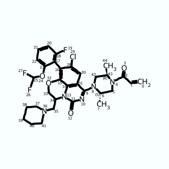 C=CC(=O)N1C[C@H](C)N(c2nc(=O)n3c4c(c(-c5c(F)cccc5OC(F)F)c(Cl)cc24)OCC3CN2CCCCC2)C[C@H]1C